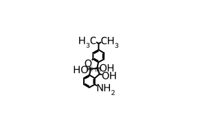 CC(C)c1ccc2c(c1)O[C@@]1(O)c3cccc(N)c3C(O)[C@@]21O